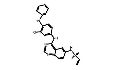 C=CS(=O)(=O)Nc1ccc2ncnc(Nc3ccc(Nc4ccccc4)c(Cl)c3)c2c1